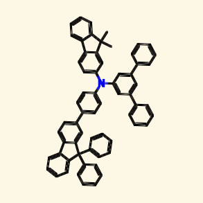 CC1(C)c2ccccc2-c2ccc(N(c3ccc(-c4ccc5c(c4)C(c4ccccc4)(c4ccccc4)c4ccccc4-5)cc3)c3cc(-c4ccccc4)cc(-c4ccccc4)c3)cc21